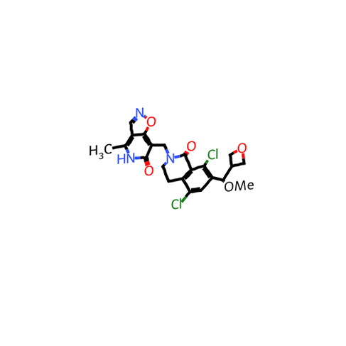 COC(c1cc(Cl)c2c(c1Cl)C(=O)N(Cc1c(=O)[nH]c(C)c3cnoc13)CC2)C1COC1